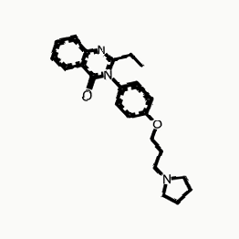 CCc1nc2ccccc2c(=O)n1-c1ccc(OCCCN2CCCC2)cc1